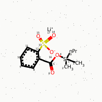 CCC[Si](C)(C)OC(=O)c1ccccc1S(=O)(=O)[O-].[Li+]